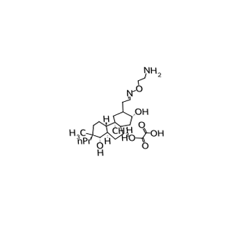 CCC[C@@]1(C)CC[C@H]2[C@@H](CC[C@@H]3C[C@@H](O)C(C/C=N/OCCN)C[C@@]32C)[C@@H]1O.O=C(O)C(=O)O